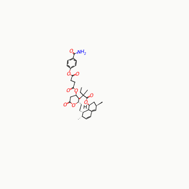 CCC(C)(C)C(=O)O[C@H]1C[C@@H](C)C=C2C=C[C@H](C)[C@H](CC[C@H]3C[C@H](OC(=O)CCC(=O)Oc4ccc(C(N)=O)cc4)CC(=O)O3)[C@H]21